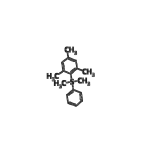 Cc1cc(C)c(S(C)(C)c2ccccc2)c(C)c1